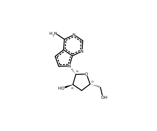 Nc1ncnc2c1ccn2[C@@H]1O[C@H](CO)C[C@H]1O